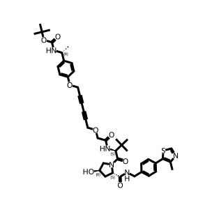 Cc1ncsc1-c1ccc(CNC(=O)[C@@H]2C[C@@H](O)CN2C(=O)[C@@H](NC(=O)COCC#CC#CCOc2ccc([C@@H](C)NC(=O)OC(C)(C)C)cc2)C(C)(C)C)cc1